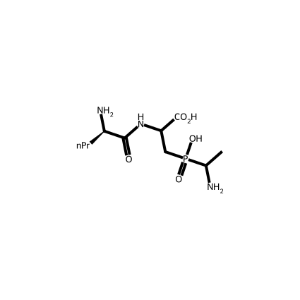 CCC[C@@H](N)C(=O)NC(CP(=O)(O)C(C)N)C(=O)O